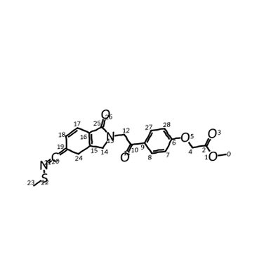 COC(=O)COc1ccc(C(=O)CN2CC3=C(C=CC(=C=NSC)C3)C2=O)cc1